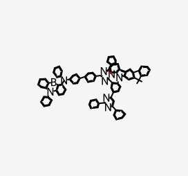 CC1(C)c2ccccc2-c2cc3c4ccccc4n(-c4ccc(-c5cc(-c6ccccc6)nc(-c6ccccc6)n5)cc4-c4nc(-c5ccccc5)nc(-c5ccc(-c6ccc(N7c8ccccc8B8c9ccccc9N(c9ccccc9)c9cccc7c98)cc6)cc5)n4)c3cc21